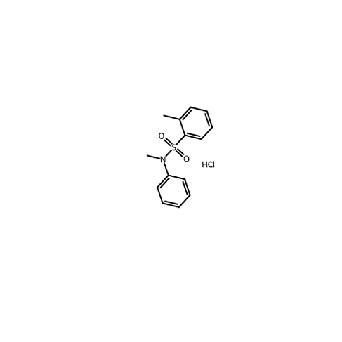 Cc1ccccc1S(=O)(=O)N(C)c1ccccc1.Cl